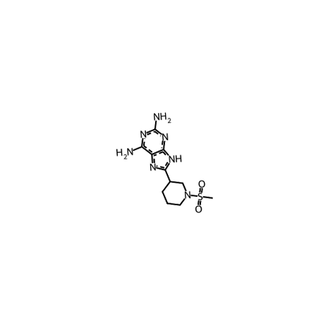 CS(=O)(=O)N1CCCC(c2nc3c(N)nc(N)nc3[nH]2)C1